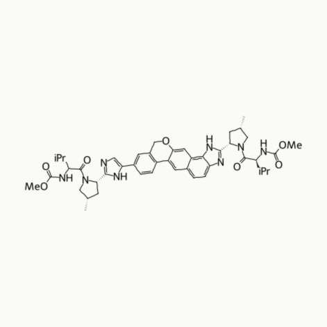 COC(=O)NC(C(=O)N1C[C@@H](C)C[C@H]1c1ncc(-c2ccc3c(c2)COc2cc4c(ccc5nc([C@@H]6C[C@H](C)CN6C(=O)[C@@H](NC(=O)OC)C(C)C)[nH]c54)cc2-3)[nH]1)C(C)C